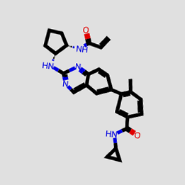 C=CC(=O)N[C@H]1CCC[C@H]1Nc1ncc2cc(-c3cc(C(=O)NC4CC4)ccc3C)ccc2n1